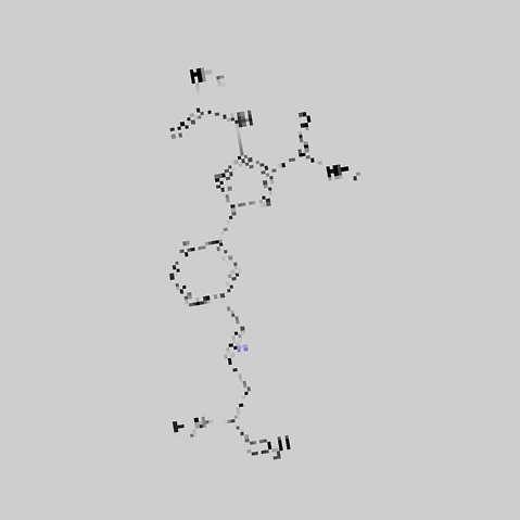 NC(=O)Nc1sc(-c2cccc(/C=C/CC(N)C(=O)O)c2)cc1C(N)=O